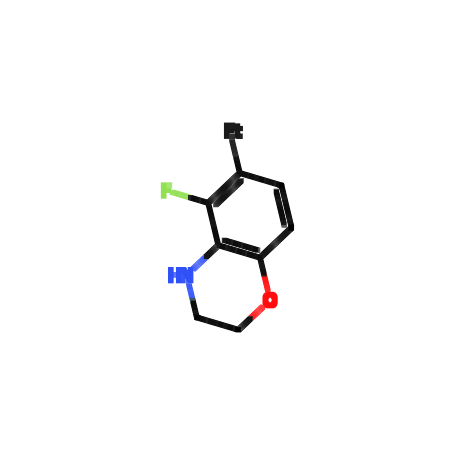 CCc1ccc2c(c1F)NCCO2